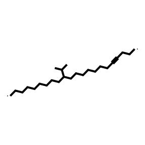 [CH2]CCC#CCCCCCCCC(CCCCCCCC[CH2])C(C)C